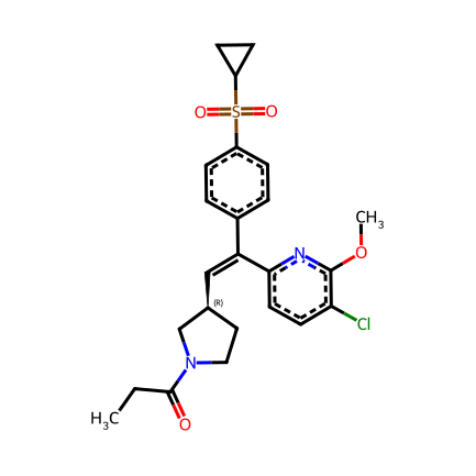 CCC(=O)N1CC[C@H](C=C(c2ccc(S(=O)(=O)C3CC3)cc2)c2ccc(Cl)c(OC)n2)C1